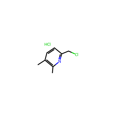 Cc1ccc(CCl)nc1C.Cl